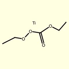 CCOOC(=O)OCC.[Ti]